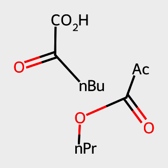 CCCCC(=O)C(=O)O.CCCOC(=O)C(C)=O